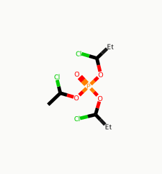 CCC(Cl)OP(=O)(OC(C)Cl)OC(Cl)CC